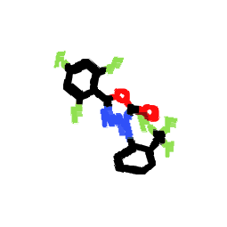 O=c1oc(-c2c(F)cc(F)cc2F)nn1-c1ccccc1C(F)(F)F